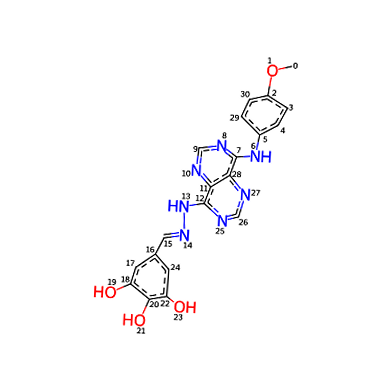 COc1ccc(Nc2ncnc3c(NN=Cc4cc(O)c(O)c(O)c4)ncnc23)cc1